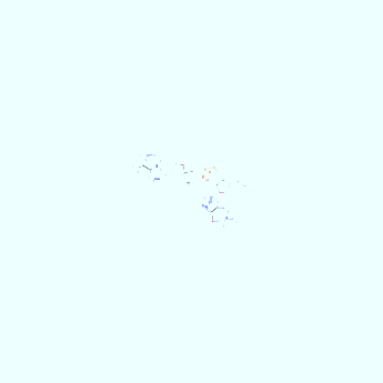 C#C[C@]1(COP(=O)(S)O[C@@H]2[C@@H](F)[C@@H](CCO)O[C@H]2n2nnc3c(=O)[nH]c(N)nc32)O[C@@H](n2cnc3c(N)ncnc32)C[C@@H]1O